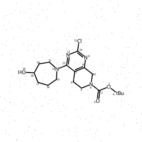 CC(C)(C)OC(=O)N1CCc2c(nc(Cl)nc2N2CCCC(O)CC2)C1